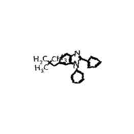 CC(C)(C)Cc1ccc2nc(-c3ccccc3)n(C3C=CC=CC3)c2c1